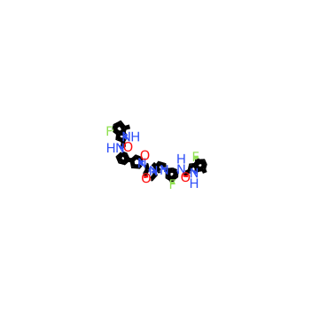 Cc1ccc(F)c2c1NC(C(=O)Nc1cccc(C3CCN(CC4COCCN4C4(C)CCN(c5cc(F)cc(NC(=O)C6Cc7c(F)ccc(C)c7N6)c5)C4)C(=O)C3)c1)C2